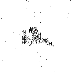 CN(C)CCn1nnnc1SCC1=C(C(=O)O)N2C(=O)[C@@H](NC(=O)Cc3csc(N)n3)[C@H]2SC1.Cl.Cl.O.O